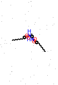 CCCCCCCCCc1ccc(OC(=O)Nc2ccc(C)c(NC(=O)Oc3ccc(CCCCCCCCC)cc3)c2)cc1